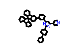 c1ccc(-c2ccc(-c3nc(-c4ccncc4)cc(-c4cccc(-c5ccc6c(c5)-c5ccccc5C65c6ccccc6-c6ccccc65)c4)n3)cc2)cc1